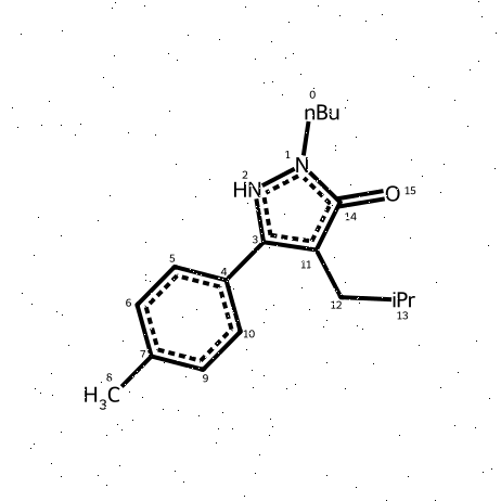 CCCCn1[nH]c(-c2ccc(C)cc2)c(CC(C)C)c1=O